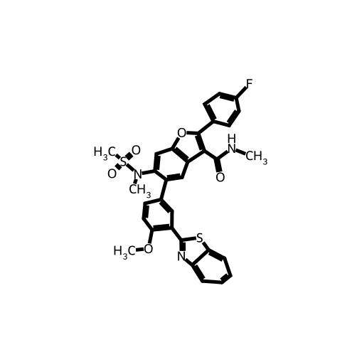 CNC(=O)c1c(-c2ccc(F)cc2)oc2cc(N(C)S(C)(=O)=O)c(-c3ccc(OC)c(-c4nc5ccccc5s4)c3)cc12